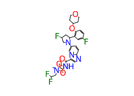 CN(CC(F)F)S(=O)(=O)NC(=O)c1cnc2ccc(N3CC(F)CC3c3cc(F)ccc3OC3CCOCC3)cn12